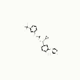 Cc1ccc([C@@H](NC(=O)Nc2cccc(C(F)(F)F)c2)C2CC2)cc1-n1ccnc1